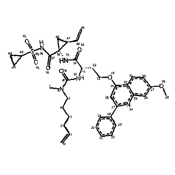 C=CCCCCN(C)C(=O)N[C@@H](CCOc1cc(-c2ccccc2)nc2cc(OC)ccc12)C(=O)N[C@]1(C(=O)NS(=O)(=O)C2CC2)C[C@H]1C=C